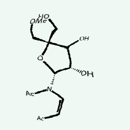 COC[C@]1(CO)O[C@@H](N(/C=C\C(C)=O)C(C)=O)[C@@H](O)C1O